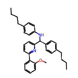 CCCCc1ccc(NC(c2ccc(CCCC)cc2)c2cccc(-c3ccccc3OC)n2)cc1